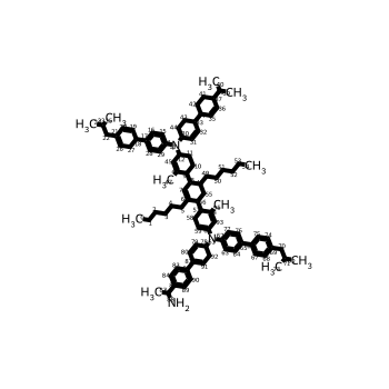 CCCCCCC1=CC(C2CCC(N(c3ccc(C4C=CC(CC(C)C)=CC4)cc3)C3C=CC(C4C=CC(C(C)C)CC4)CC3)C=C2C)C(CCCCCC)CC1C1CC=C(N(c2ccc(-c3ccc(CC(C)C)cc3)cc2)C2C=CC(c3ccc(C(C)N)cc3)=CC2)C=C1C